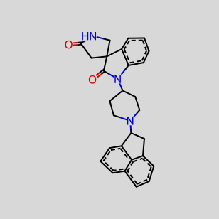 O=C1CC2(CN1)C(=O)N(C1CCN(C3Cc4cccc5cccc3c45)CC1)c1ccccc12